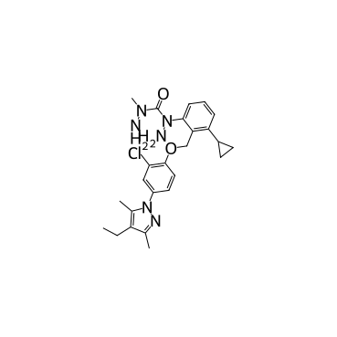 CCc1c(C)nn(-c2ccc(OCc3c(C4CC4)cccc3N(N)C(=O)N(C)N)c(Cl)c2)c1C